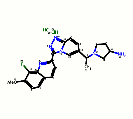 COc1ccc2ccc(-c3nnc4ccc([C@@H](N5CCC(N)C5)C(F)(F)F)cn34)nc2c1F.Cl.Cl